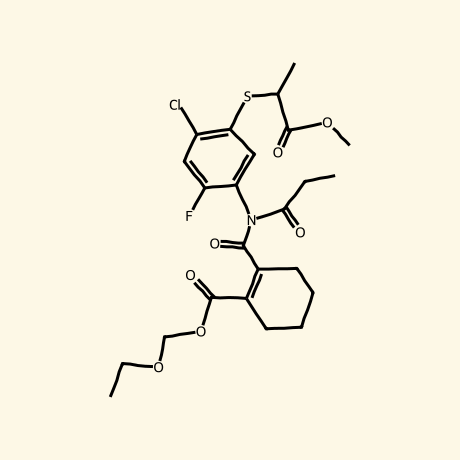 CCOCOC(=O)C1=C(C(=O)N(C(=O)CC)c2cc(SC(C)C(=O)OC)c(Cl)cc2F)CCCC1